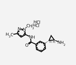 Cc1cc(NC(=O)c2cccc([C@@H]3C[C@H]3N)c2)n(C)n1.Cl.Cl